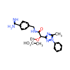 CC(=O)O.CCOC(C(=O)NCc1ccc(C(=N)N)cc1)c1nc(C)n(-c2ccccc2)n1